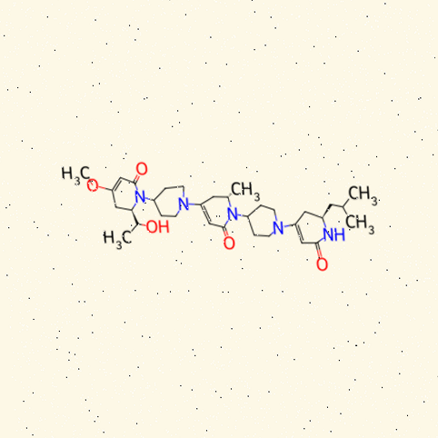 COC1=CC(=O)N(C2CCN(C3=CC(=O)N(C4CCN(C5=CC(=O)N[C@H](CC(C)C)C5)CC4)[C@@H](C)C3)CC2)[C@@H](C(C)O)C1